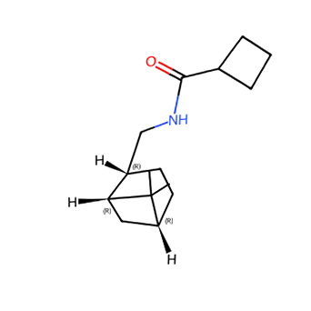 CC1(C)[C@@H]2CC[C@@H](CNC(=O)C3CCC3)[C@H]1C2